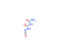 NC(=O)NC(=O)NN=C=O